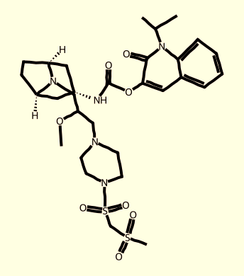 COC(CN1CCN(S(=O)(=O)CS(C)(=O)=O)CC1)CN1[C@@H]2CC[C@H]1C[C@H](NC(=O)Oc1cc3ccccc3n(C(C)C)c1=O)C2